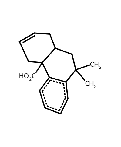 CC1(C)CC2CC=CCC2(C(=O)O)c2ccccc21